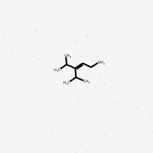 CC(C)C(=CC[SiH3])C(C)C